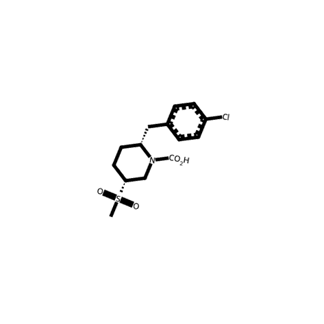 CS(=O)(=O)[C@@H]1CC[C@H](Cc2ccc(Cl)cc2)N(C(=O)O)C1